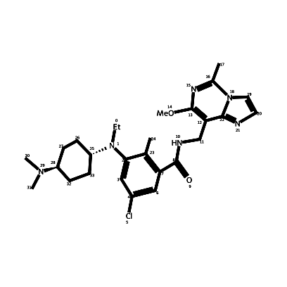 CCN(c1cc(Cl)cc(C(=O)NCc2c(OC)nc(C)n3ccnc23)c1C)[C@H]1CC[C@H](N(C)C)CC1